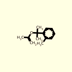 C=C(C)OC(C)(C)c1ccccc1C